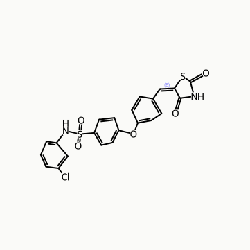 O=C1NC(=O)/C(=C\c2ccc(Oc3ccc(S(=O)(=O)Nc4cccc(Cl)c4)cc3)cc2)S1